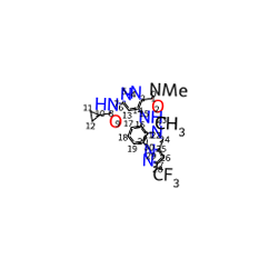 CNC(=O)c1nnc(NC(=O)C2CC2)cc1Nc1cccc2c1N(C)Cc1cc(C(F)(F)F)nn1-2